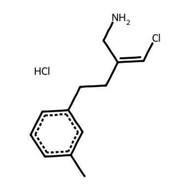 Cc1cccc(CC/C(=C/Cl)CN)c1.Cl